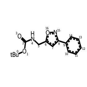 CC(C)(C)OC(=O)NCc1cc(-c2ccccc2)no1